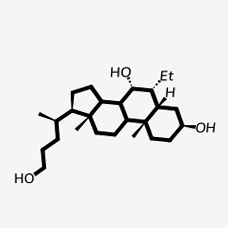 CC[C@H]1[C@@H](O)C2C3CC[C@H]([C@H](C)CCCO)[C@@]3(C)CCC2[C@@]2(C)CC[C@H](O)C[C@@H]12